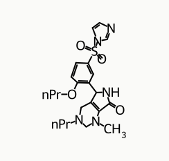 CCCOc1ccc(S(=O)(=O)n2ccnc2)cc1C1NC(=O)C2=C1CN(CCC)CN2C